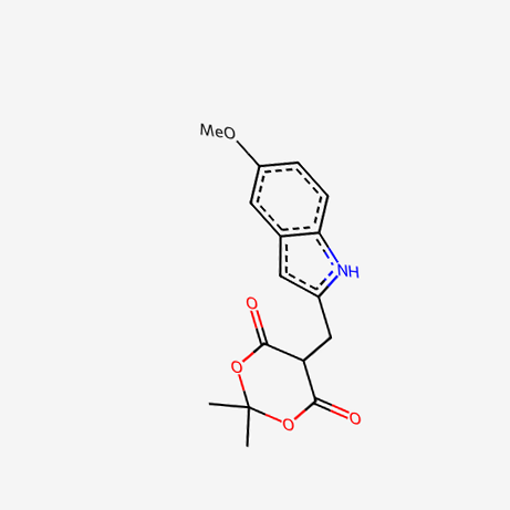 COc1ccc2[nH]c(CC3C(=O)OC(C)(C)OC3=O)cc2c1